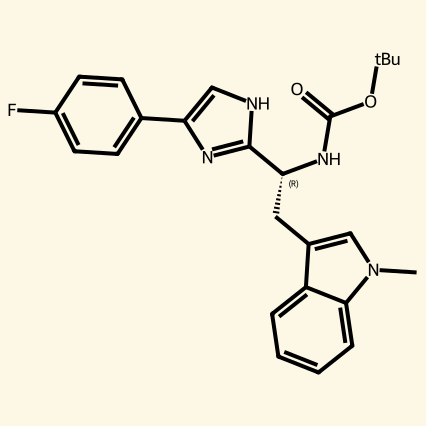 Cn1cc(C[C@@H](NC(=O)OC(C)(C)C)c2nc(-c3ccc(F)cc3)c[nH]2)c2ccccc21